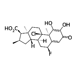 C[C@@H]1C[C@H]2[C@@H]3C[C@H](F)C4=CC(=O)C(O)=C(O)[C@]4(C)[C@@]3(Cl)CC[C@]2(C)[C@@H]1C(=O)O